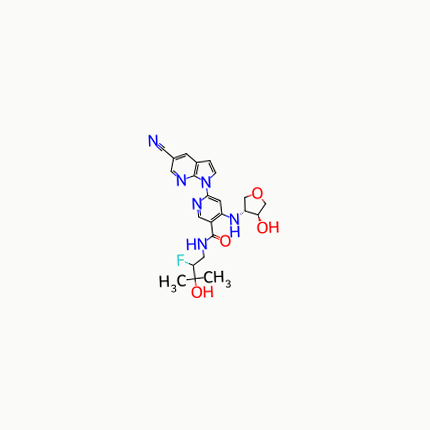 CC(C)(O)C(F)CNC(=O)c1cnc(-n2ccc3cc(C#N)cnc32)cc1N[C@@H]1COC[C@H]1O